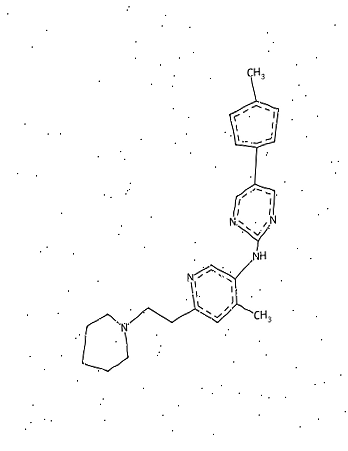 Cc1ccc(-c2cnc(Nc3cnc(CCN4CCCCC4)cc3C)nc2)cc1